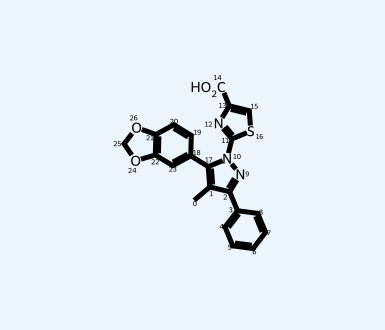 Cc1c(-c2ccccc2)nn(-c2nc(C(=O)O)cs2)c1-c1ccc2c(c1)OCO2